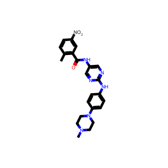 Cc1ccc([N+](=O)[O-])cc1C(=O)Nc1cnc(Nc2ccc(N3CCN(C)CC3)cc2)nc1